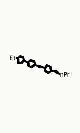 CCCC#Cc1ccc(C#Cc2ccc(-c3ccc(CC)cc3)cc2)cc1